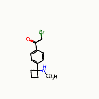 O=C(O)NC1(c2ccc(C(=O)CBr)cc2)CCC1